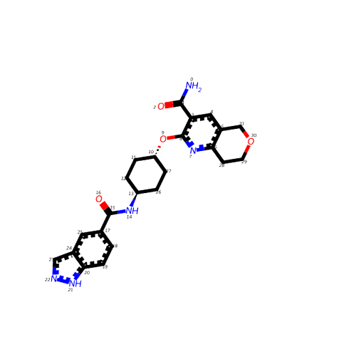 NC(=O)c1cc2c(nc1O[C@H]1CC[C@H](NC(=O)c3ccc4[nH]ncc4c3)CC1)CCOC2